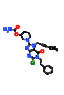 CC#CCn1c(N2CCCC(OC(N)=O)C2)nc2nc(Cl)n(CCc3ccccc3)c(=O)c21